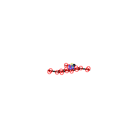 C=CC(=O)OCCCCCCOc1ccc(OC(=O)C2CCC(C(=O)Oc3ccc(OC(=O)C4CCC(C(=O)Oc5ccc(OCCCCCCOC(=O)C=C)cc5)CC4)c(/C=N/N(COCCOC)c4nc5ccccc5s4)c3)CC2)cc1